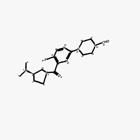 CN(C)[C@@H]1CCN(C(=O)c2nc(N3CCN(C=O)CC3)ncc2F)C1